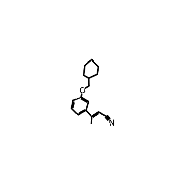 CC(=CC#N)c1cccc(OCC2CCCCC2)c1